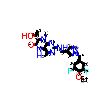 C=C(O)[C@H]1C(=O)Nc2c(C)nc(NCc3cnn(Cc4cc(F)c(OCC)c(F)c4)c3)nc2N1C